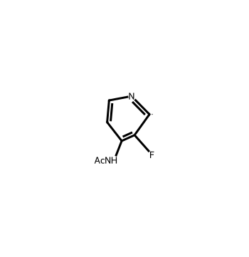 CC(=O)Nc1ccn[c]c1F